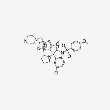 COc1ccc(S(=O)(=O)N2C(=O)C(c3ccc(CN4CCN(C)CC4)cc3OC)(N3CCC[C@H]3c3ncco3)c3cc(Cl)ccc32)cc1